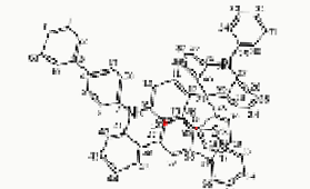 c1ccc(-c2ccc(N(c3ccc4c(c3)-c3ccccc3C43c4ccccc4N(c4ccccc4)c4ccccc43)c3ccccc3-c3ccc4sc5ccccc5c4c3)cc2)cc1